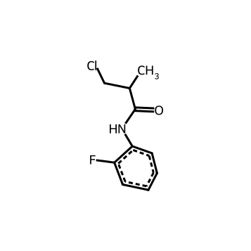 CC(CCl)C(=O)Nc1ccccc1F